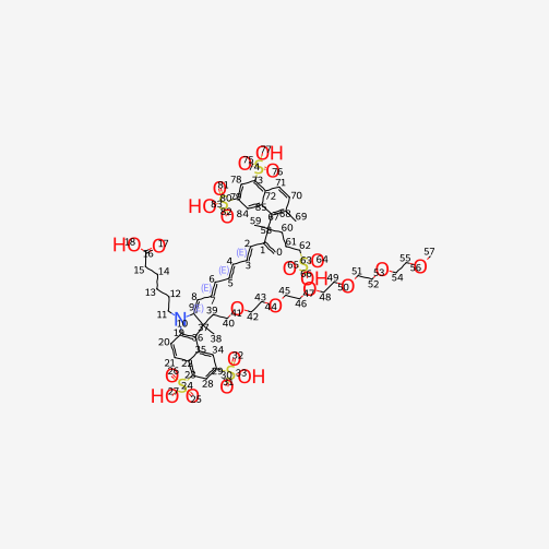 C=C(/C=C/C=C/C=C/C=C1/N(CCCCCC(=O)O)c2ccc3c(S(=O)(=O)O)cc(S(=O)(=O)O)cc3c2C1(C)CCOCCOCCOCCOCCOCCOC)C(C)(CCCS(=O)(=O)O)c1c(C)ccc2c(S(=O)(=O)O)cc(S(=O)(=O)O)cc12